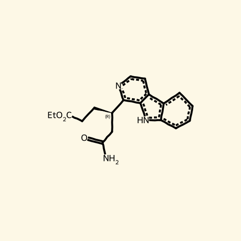 CCOC(=O)CC[C@H](CC(N)=O)c1nccc2c1[nH]c1ccccc12